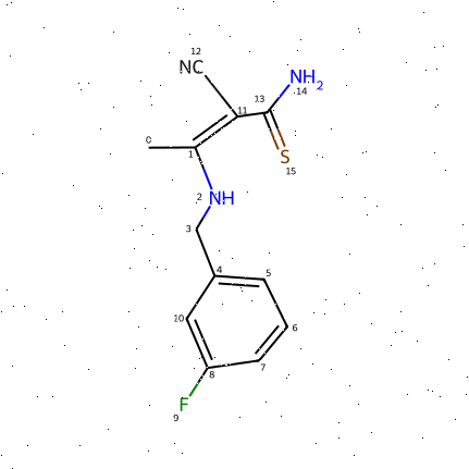 C/C(NCc1cccc(F)c1)=C(\C#N)C(N)=S